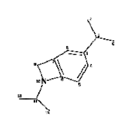 CC(C)c1ccc2c(c1)CN2C(C)C